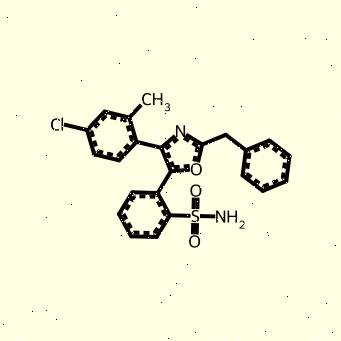 Cc1cc(Cl)ccc1-c1nc(Cc2ccccc2)oc1-c1ccccc1S(N)(=O)=O